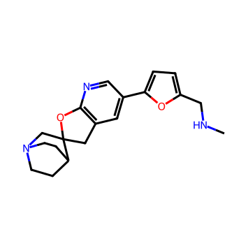 CNCc1ccc(-c2cnc3c(c2)CC2(CN4CCC2CC4)O3)o1